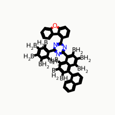 Bc1c(B)c(B)c(-c2nc(-c3c(B)c(B)c(B)c4c(-c5cccc6ccccc56)c(B)c(B)c(B)c34)nc(-c3cccc4oc5ccccc5c34)n2)c(B)c1B